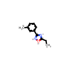 CCc1nc(-c2cccc(C)c2)no1